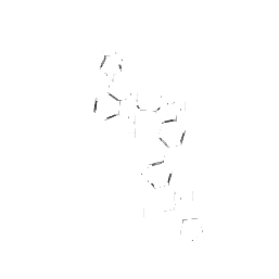 Cc1cn(-c2cccc3[nH]c(-c4n[nH]c5ccc(-c6cncc(NC(O)C7CCCC7)c6)cc45)nc23)cn1